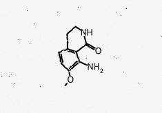 COc1ccc2c(c1N)C(=O)NCC2